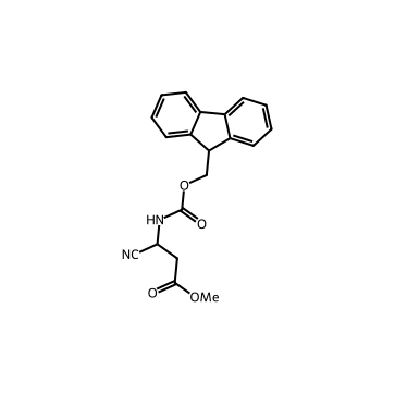 COC(=O)CC(C#N)NC(=O)OCC1c2ccccc2-c2ccccc21